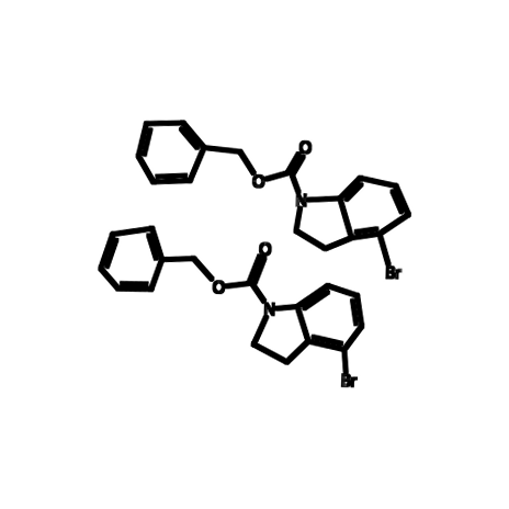 O=C(OCc1ccccc1)N1CCc2c(Br)cccc21.O=C(OCc1ccccc1)N1CCc2c(Br)cccc21